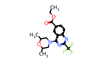 CCOC(=O)c1ccc2nc(C(F)(F)F)nc(N3CC(C)OC(C)C3)c2c1